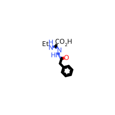 CCNC(=NNC(=O)Cc1ccccc1)C(=O)O